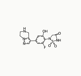 O=C1CN(c2c(O)cc(-c3cnn4c3CNCC4)cc2F)S(=O)(=O)N1